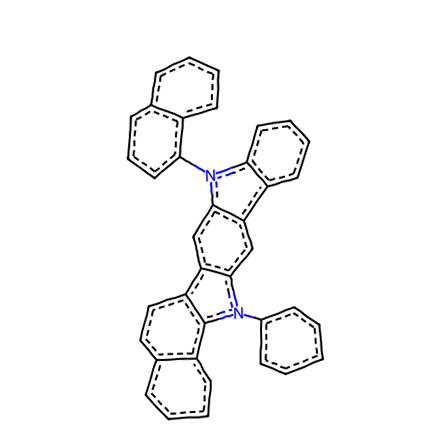 c1ccc(-n2c3cc4c5ccccc5n(-c5cccc6ccccc56)c4cc3c3ccc4ccccc4c32)cc1